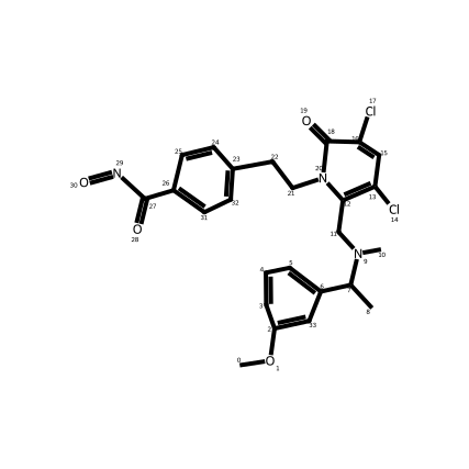 COc1cccc(C(C)N(C)Cc2c(Cl)cc(Cl)c(=O)n2CCc2ccc(C(=O)N=O)cc2)c1